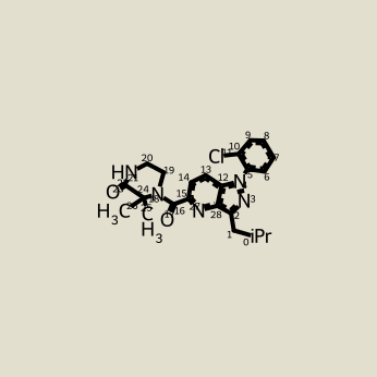 CC(C)Cc1nn(-c2ccccc2Cl)c2ccc(C(=O)N3CCNC(=O)C3(C)C)nc12